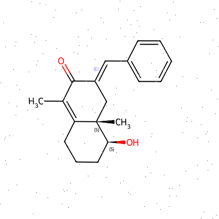 CC1=C2CCC[C@H](O)[C@@]2(C)C/C(=C\c2ccccc2)C1=O